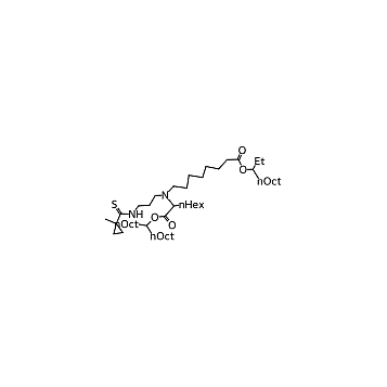 CCCCCCCCC(CC)OC(=O)CCCCCCCN(CCCNC(=S)C1(C)CC1)C(CCCCCC)C(=O)OC(CCCCCCCC)CCCCCCCC